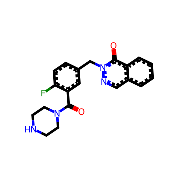 O=C(c1cc(Cn2ncc3ccccc3c2=O)ccc1F)N1CCNCC1